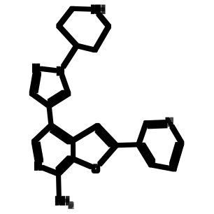 Nc1ncc(-c2cnn(C3CCNCC3)c2)c2cc(-c3cccnc3)oc12